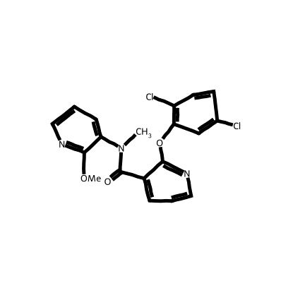 COc1ncccc1N(C)C(=O)c1cccnc1Oc1cc(Cl)ccc1Cl